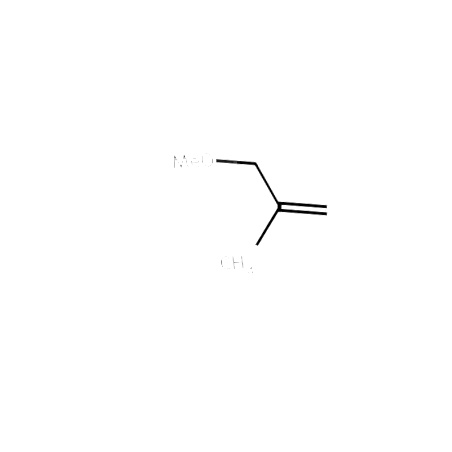 C.C=C(C)COC